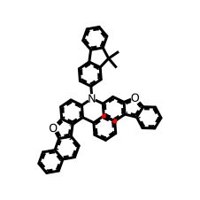 CC1(C)c2ccccc2-c2ccc(N(c3ccc4c(c3)oc3ccccc34)c3ccc4oc5c6ccccc6ccc5c4c3-c3ccccc3)cc21